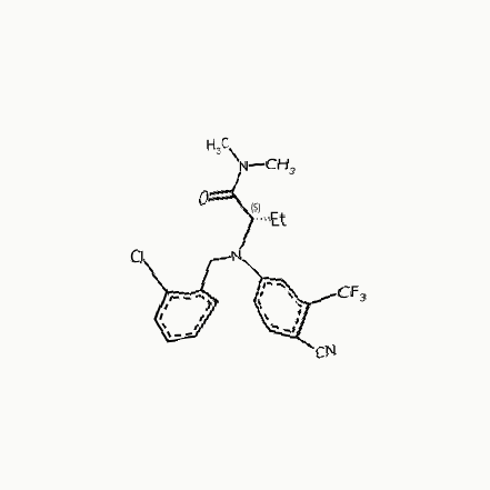 CC[C@@H](C(=O)N(C)C)N(Cc1ccccc1Cl)c1ccc(C#N)c(C(F)(F)F)c1